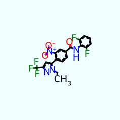 CCn1nc(C(F)(F)F)cc1-c1ccc(C(=O)Nc2c(F)cccc2F)cc1[N+](=O)[O-]